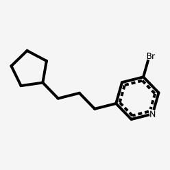 Brc1cncc(CCCC2CCCC2)c1